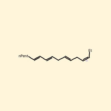 CC/C=C\CC=CCC=CC=CCCCCC